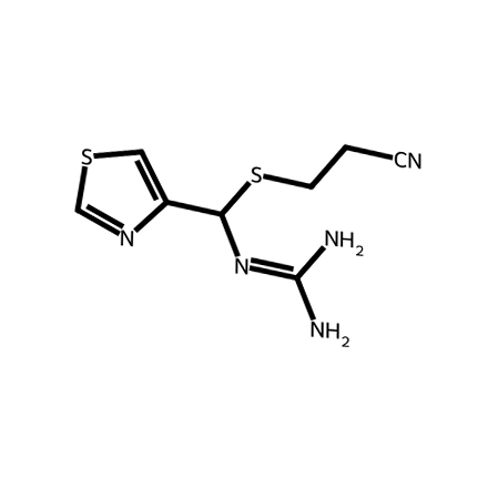 N#CCCSC(N=C(N)N)c1cscn1